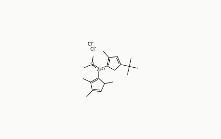 CC1=CC(C)[C]([Zr+2]([C]2=C(C)C=C(C(C)(C)C)C2)=[Si](C)C)=C1C.[Cl-].[Cl-]